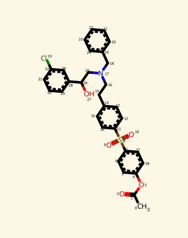 CC(=O)Oc1ccc(S(=O)(=O)c2ccc(CCN(Cc3ccccc3)CC(O)c3cccc(Cl)c3)cc2)cc1